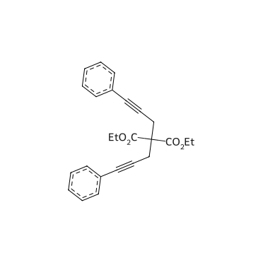 CCOC(=O)C(CC#Cc1ccccc1)(CC#Cc1ccccc1)C(=O)OCC